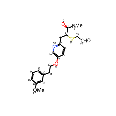 CNC(=O)C(Cc1ccc(OCCc2cccc(OC)c2)cn1)SCC=O